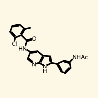 CC(=O)Nc1cccc(-c2cc3cc(NC(=O)c4c(C)cccc4Cl)cnc3[nH]2)c1